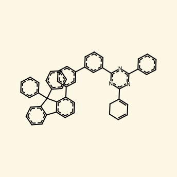 C1=CCCC(c2nc(-c3ccccc3)nc(-c3cccc(-c4cccc(-c5cccc6c5C(c5ccccc5)(c5ccccc5)c5ccccc5-6)c4)c3)n2)=C1